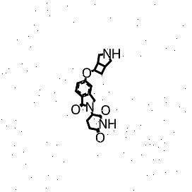 O=C1CCC(N2Cc3cc(OC4CC5CNCC54)ccc3C2=O)C(=O)N1